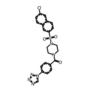 O=C(c1ccc(-n2cnnn2)cc1)N1CCN(S(=O)(=O)c2ccc3cc(Cl)ccc3c2)CC1